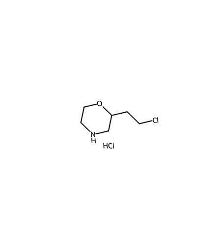 Cl.ClCCC1CNCCO1